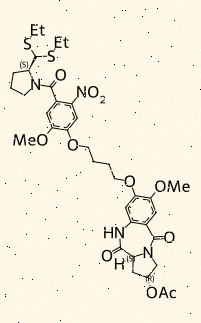 CCSC(SCC)[C@@H]1CCCN1C(=O)c1cc(OC)c(OCCCCOc2cc3c(cc2OC)C(=O)N2C[C@H](OC(C)=O)C[C@H]2C(=O)N3)cc1[N+](=O)[O-]